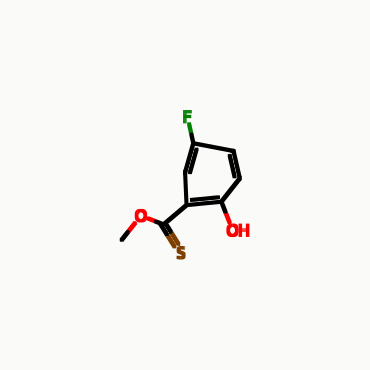 COC(=S)c1cc(F)ccc1O